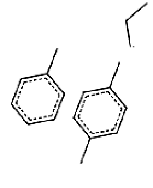 Cc1ccc(C)cc1.Cc1ccccc1.[CH2]CC